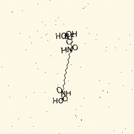 O=C(O)CNC(=O)CCCCCCCCCCCCCCCNC(=O)c1ccc(B(O)O)c(F)c1